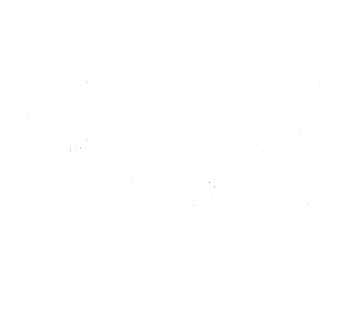 CCCC(CCC)COC(=O)[C@H](C)NP(=O)(P)OCCNC(=O)CC